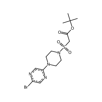 CC(C)(C)OC(=O)CS(=O)(=O)N1CCN(c2cnc(Br)cn2)CC1